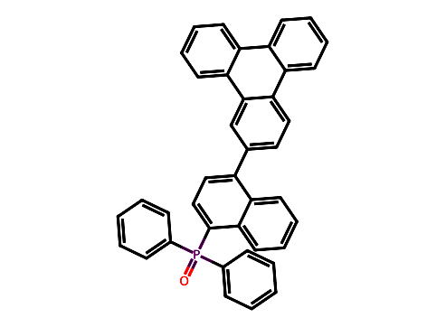 O=P(c1ccccc1)(c1ccccc1)c1ccc(-c2ccc3c4ccccc4c4ccccc4c3c2)c2ccccc12